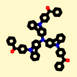 O=C(c1ccccc1)c1ccc(-n2c3ccccc3c3cc(N(c4ccc5c(c4)c4ccccc4n5-c4ccc(C(=O)c5ccccc5)cc4)c4ccc5c(c4)c4ccccc4n5-c4ccc(C(=O)c5ccccc5)cc4)ccc32)cc1